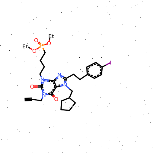 C#CCn1c(=O)c2c(nc(CCc3ccc(I)cc3)n2CC2CCCC2)n(CCCCP(=O)(OCC)OCC)c1=O